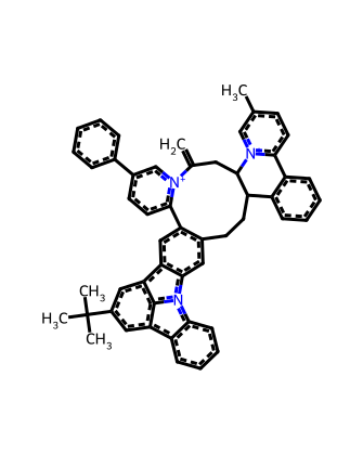 C=C1CC2C(CCc3cc4c(cc3-c3ccc(-c5ccccc5)c[n+]31)c1cc(C(C)(C)C)cc3c5ccccc5n4c31)c1ccccc1-c1ccc(C)c[n+]12